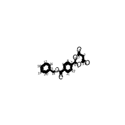 O=C1CC(=O)OC(c2ccc(C(=O)OCc3ccccc3)cc2)O1